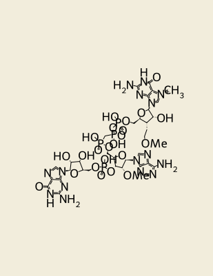 COCC[C@H]1[C@@H](O)[C@H](n2c[n+](C)c3c(=O)[nH]c(N)nc32)O[C@@H]1COP(=O)(O)OP(=O)(O)CP(=O)(O)OC[C@H]1O[C@@H](n2cnc3c(N)ncnc32)[C@H](OC)[C@@H]1OP(=O)(O)OC[C@H]1O[C@@H](n2cnc3c(=O)[nH]c(N)nc32)[C@H](O)[C@@H]1O